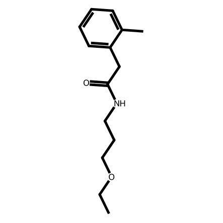 CCOCCCNC(=O)Cc1ccccc1C